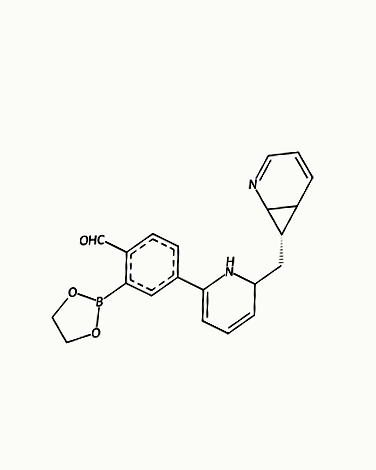 O=Cc1ccc(C2=CC=CC(C[C@H]3C4C=CC=NC43)N2)cc1B1OCCO1